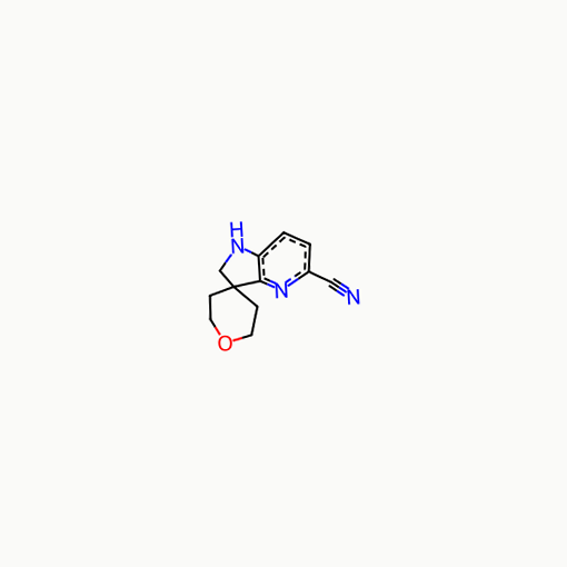 N#Cc1ccc2c(n1)C1(CCOCC1)CN2